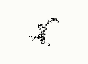 CCCC#Cc1cc(CP(OCC)OCC)ccc1Br